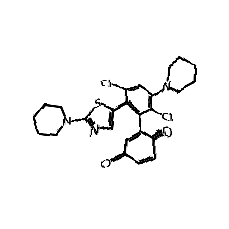 O=C1C=CC(=O)C(c2c(Cl)c(N3CCCCC3)cc(Cl)c2-c2cnc(N3CCCCC3)s2)=C1